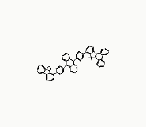 CC1(C)c2c(-c3ccc(-c4c5ccccc5c(-c5ccc(-c6cccc7c6oc6ccccc67)cc5)c5ccccc45)cc3)cccc2-c2c1c1ccccc1c1ccccc21